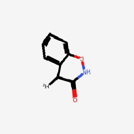 [2H]C1C(=O)NOc2ccccc21